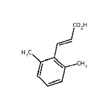 Cc1cccc(C)c1C=CC(=O)O